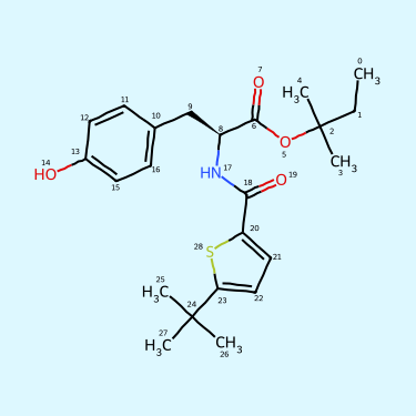 CCC(C)(C)OC(=O)[C@H](Cc1ccc(O)cc1)NC(=O)c1ccc(C(C)(C)C)s1